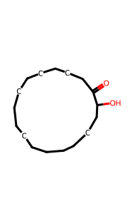 O=C1CCCCCCCCCCCCCCCC1O